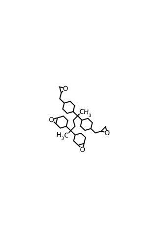 CC(CCC(C)(C1CCC2OC2C1)C1CCC2OC2C1)(C1CCC(CC2CO2)CC1)C1CCC(CC2CO2)CC1